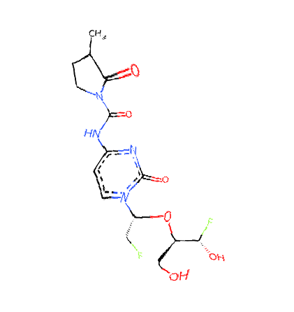 CC1CCN(C(=O)Nc2ccn([C@@H](CF)O[C@H](CO)[C@@H](O)F)c(=O)n2)C1=O